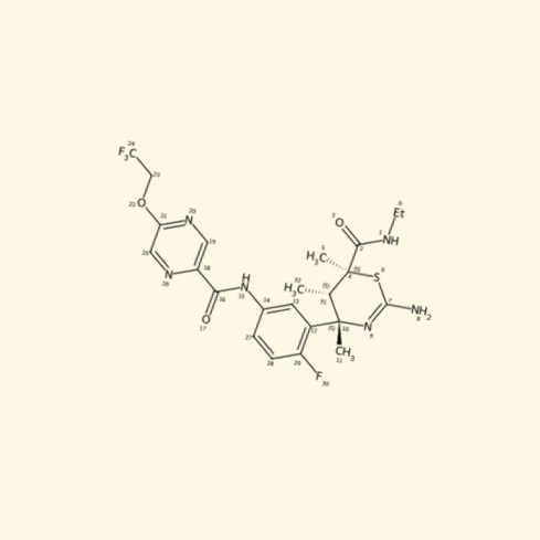 CCNC(=O)[C@@]1(C)SC(N)=N[C@](C)(c2cc(NC(=O)c3cnc(OCC(F)(F)F)cn3)ccc2F)[C@@H]1C